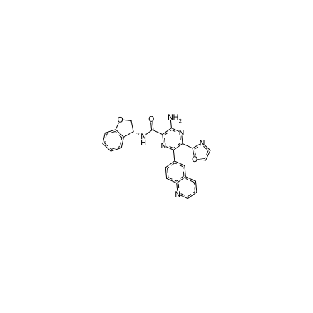 Nc1nc(-c2ncco2)c(-c2ccc3ncccc3c2)nc1C(=O)N[C@H]1COc2ccccc21